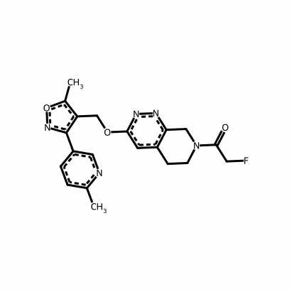 Cc1ccc(-c2noc(C)c2COc2cc3c(nn2)CN(C(=O)CF)CC3)cn1